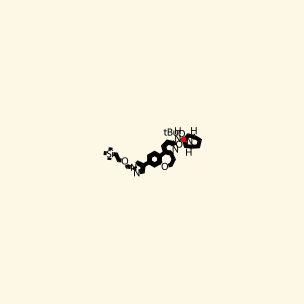 CC(C)(C)OC(=O)N1[C@@H]2CC[C@H]1C[C@@H](Nc1ccc3c(n1)CCOc1cc(-c4cnn(COCC[Si](C)(C)C)c4)ccc1-3)C2